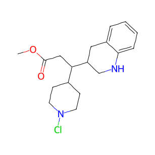 COC(=O)CC(C1CCN(Cl)CC1)C1CNc2ccccc2C1